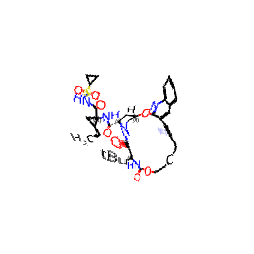 C=CC1C[C@]1(NC(=O)[C@@H]1C[C@@H]2CN1C(=O)[C@H](C(C)(C)C)NC(=O)OCCCCC/C=C/c1cc3ccccc3nc1O2)C(=O)NS(=O)(=O)C1CC1